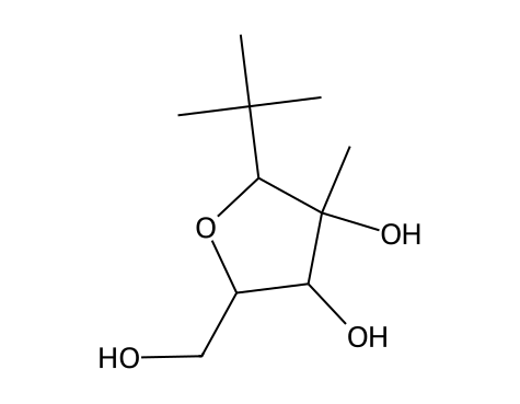 CC(C)(C)C1OC(CO)C(O)C1(C)O